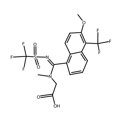 COc1ccc2c(C(=NS(=O)(=O)C(F)(F)F)N(C)CC(=O)O)cccc2c1C(F)(F)F